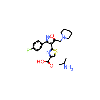 CC(C)N.O=C(O)c1csc(-c2c(-c3ccc(F)cc3)noc2CN2CCCCC2)n1